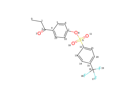 CCC(=O)c1ccc(OS(=O)(=O)c2ccc(C(F)(F)F)cc2)cc1